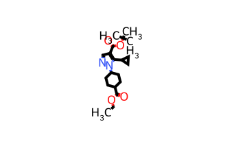 CCOC(=O)C1CCC(n2ncc(C(=O)OC(C)(C)C)c2C2CC2)CC1